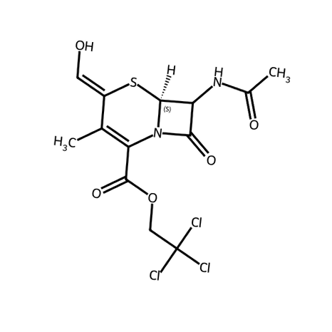 CC(=O)NC1C(=O)N2C(C(=O)OCC(Cl)(Cl)Cl)=C(C)C(=CO)S[C@@H]12